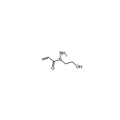 C=CC(=O)N(N)CCO